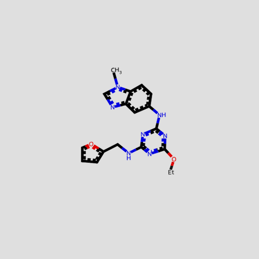 CCOc1nc(NCc2ccco2)nc(Nc2ccc3c(c2)ncn3C)n1